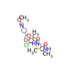 COC1CN(C2CCC(C3COc4c(Cl)cc(C(=O)NCc5c(SC)cc(C)[nH]c5=O)c(C)c4O3)CC2)C1